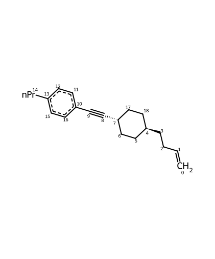 C=CCC[C@H]1CC[C@H](C#Cc2ccc(CCC)cc2)CC1